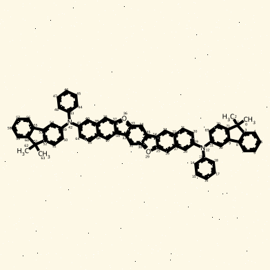 CC1(C)c2ccccc2-c2cc(N(c3ccccc3)c3ccc4cc5c(cc4c3)oc3cc4c(cc35)oc3cc5cc(N(c6ccccc6)c6ccc7c(c6)-c6ccccc6C7(C)C)ccc5cc34)ccc21